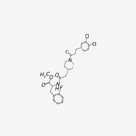 COC(=O)C(Cc1ccccc1F)NC(=O)CC1CCN(C(=O)CCc2ccc(Cl)c(Cl)c2)CC1